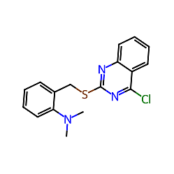 CN(C)c1ccccc1CSc1nc(Cl)c2ccccc2n1